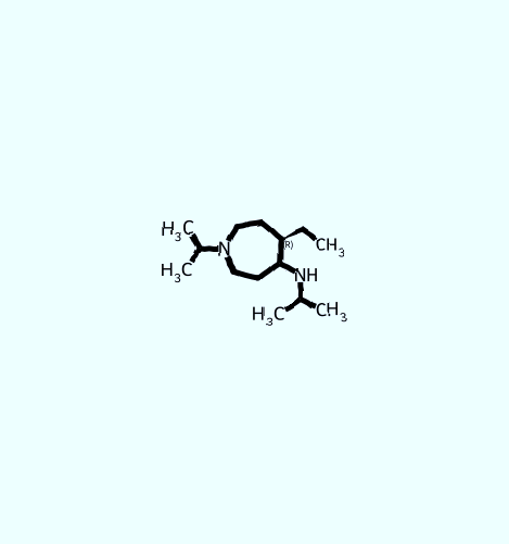 CC[C@@H]1CCN(C(C)C)CCC1NC(C)C